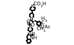 CC(=O)Oc1c(C)cc(C[C@@H](OC(=O)N2CCC(N3CCc4ccccc4NC3=O)CC2)C(=O)N2CCC(C3CCN(CC(=O)O)CC3)CC2)cc1C